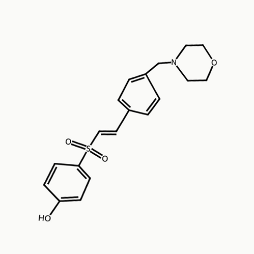 O=S(=O)(C=Cc1ccc(CN2CCOCC2)cc1)c1ccc(O)cc1